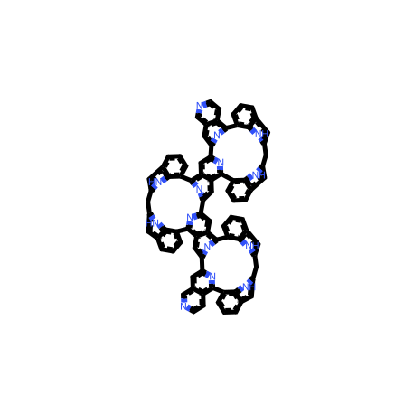 c1cc2c3[nH]c(cc3c1)Cc1cc3cccc(c3[nH]1)-c1nc(cc3c4nc(cc13)-c1cc3c5nc(cc3c(n1)-c1cccc3cc([nH]c13)Cc1cc3cccc-4c3[nH]1)-c1cc3cnccc3c(n1)-c1cccc3cc([nH]c13)Cc1cc3cccc-5c3[nH]1)-c1cc3cnccc3c-2n1